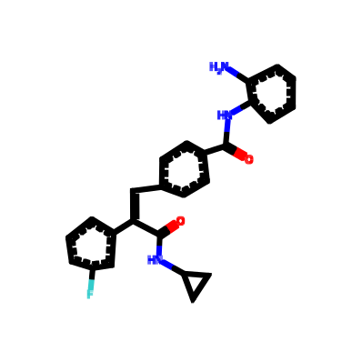 Nc1ccccc1NC(=O)c1ccc(/C=C(\C(=O)NC2CC2)c2cccc(F)c2)cc1